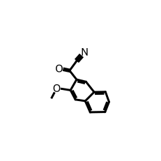 COc1cc2ccccc2cc1C(=O)C#N